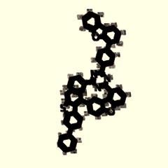 c1ccc(-c2ccc3c(c2)sc2cccc(-c4ccc5oc6cccc(-c7nc(-c8ccccc8)nc(-c8ccc(-c9cccc%10c9oc9ccccc9%10)cc8)n7)c6c5c4)c23)cc1